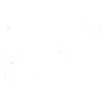 CS(=O)(=O)c1ccc(S(=O)(=O)NCc2ccc(Oc3ccc(NS(=O)(=O)c4ccc([N+](=O)[O-])cc4)c(C(=O)O)c3)cc2)cc1